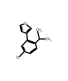 CC(C)c1ccc(Cl)cc1-c1ccoc1